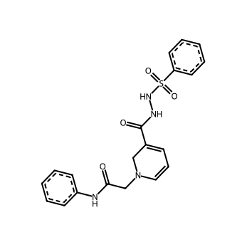 O=C(CN1C=CC=C(C(=O)NNS(=O)(=O)c2ccccc2)C1)Nc1ccccc1